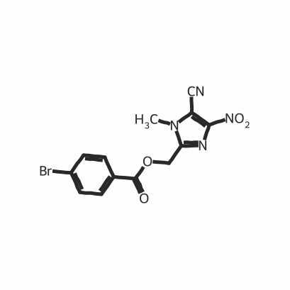 Cn1c(COC(=O)c2ccc(Br)cc2)nc([N+](=O)[O-])c1C#N